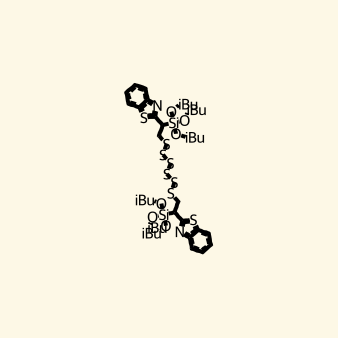 CCC(C)O[Si](OC(C)CC)(OC(C)CC)C(CSSSSSSCC(c1nc2ccccc2s1)[Si](OC(C)CC)(OC(C)CC)OC(C)CC)c1nc2ccccc2s1